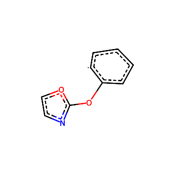 [c]1ccccc1Oc1ncco1